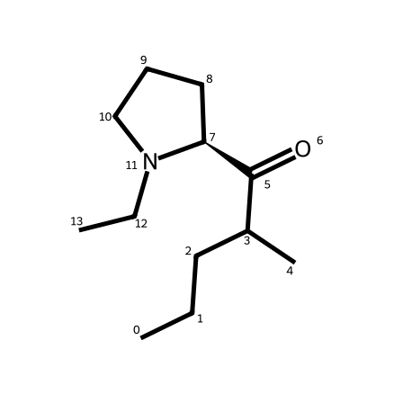 CCCC(C)C(=O)[C@@H]1CCCN1CC